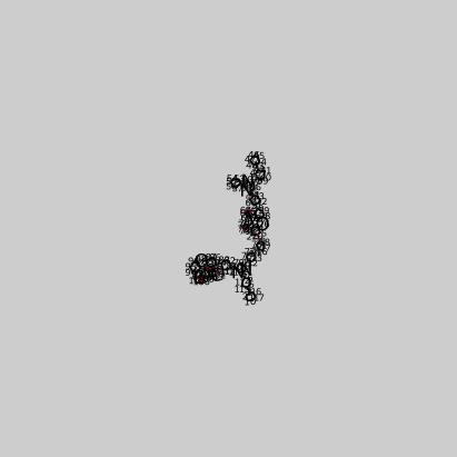 c1ccc(-c2ccc(-c3nc(-c4ccc(-c5cccc(-c6ccc7c(c6)Oc6ccc(-c8ccc(-c9cc(-c%10cccc(-c%11ccccc%11)c%10)nc(-c%10ccccc%10)n9)cc8)cc6C76c7ccccc7-c7ccccc76)c5)cc4)cc(-c4ccc(-c5ccc6c(c5)C5(c7ccccc7O6)c6ccccc6-c6ccccc65)cc4)n3)cc2)cc1